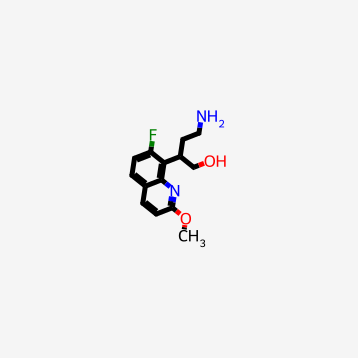 COc1ccc2ccc(F)c(C(CO)CCN)c2n1